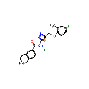 Cl.O=C(Nc1nnc(COc2ccc(F)cc2C(F)(F)F)s1)c1ccc2c(c1)CCNC2